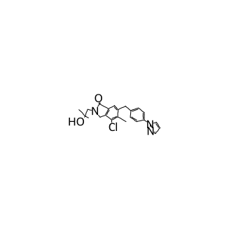 Cc1c(Cc2ccc(-n3cccn3)cc2)cc2c(c1Cl)CN(CC(C)(C)O)C2=O